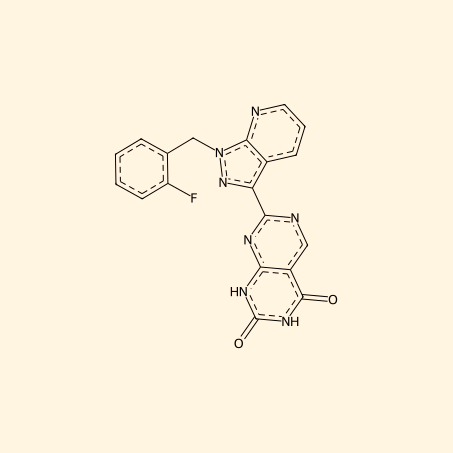 O=c1[nH]c(=O)c2cnc(-c3nn(Cc4ccccc4F)c4ncccc34)nc2[nH]1